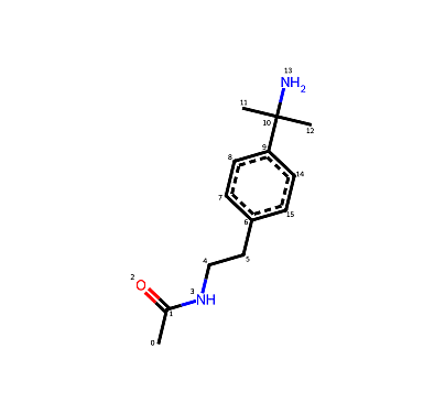 CC(=O)NCCc1ccc(C(C)(C)N)cc1